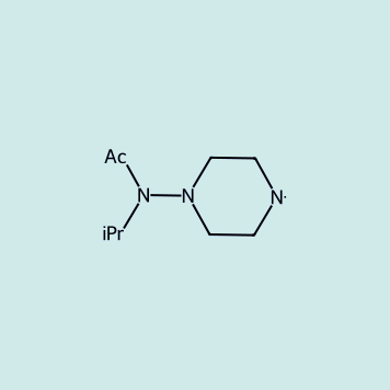 CC(=O)N(C(C)C)N1CC[N]CC1